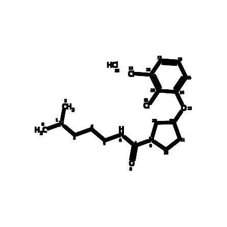 CN(C)CCCNC(=O)N1CCC(Oc2cccc(Cl)c2Cl)C1.Cl